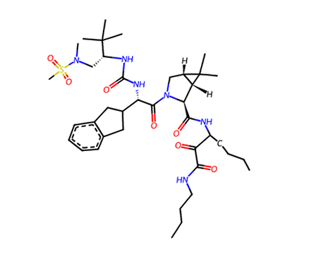 CCCCNC(=O)C(=O)C(CCCC)NC(=O)[C@@H]1[C@@H]2[C@H](CN1C(=O)[C@@H](NC(=O)N[C@H](CN(C)S(C)(=O)=O)C(C)(C)C)C1Cc3ccccc3C1)C2(C)C